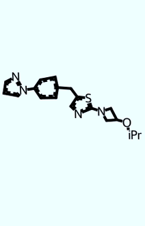 CC(C)OC1CN(c2ncc(Cc3ccc(-n4cccn4)cc3)s2)C1